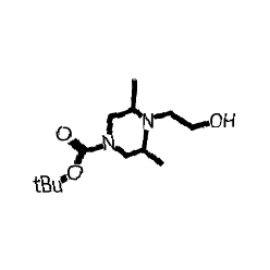 CC1CN(C(=O)OC(C)(C)C)CC(C)N1CCO